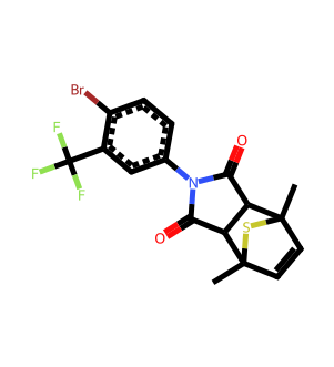 CC12C=CC(C)(S1)C1C(=O)N(c3ccc(Br)c(C(F)(F)F)c3)C(=O)C12